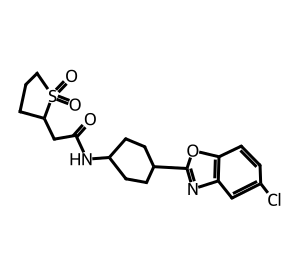 O=C(CC1CCCS1(=O)=O)NC1CCC(c2nc3cc(Cl)ccc3o2)CC1